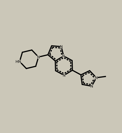 Cn1cc(-c2cn3ncc(N4CCNCC4)c3cn2)cn1